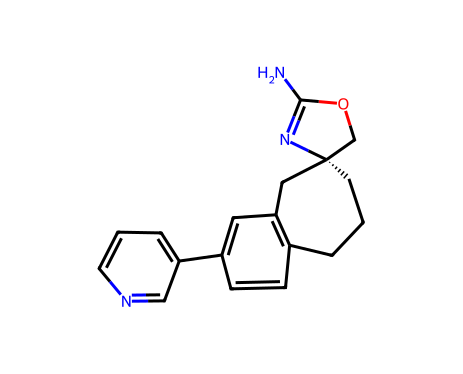 NC1=N[C@@]2(CCCc3ccc(-c4cccnc4)cc3C2)CO1